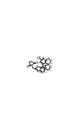 O=C1CCC(=O)N1Cc1cc2nccc(-c3cc(Cl)cc4c3[C@]3(CCC4)CNCCO3)c2s1